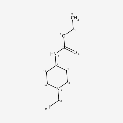 CCOC(=O)NC1CCN(CI)CC1